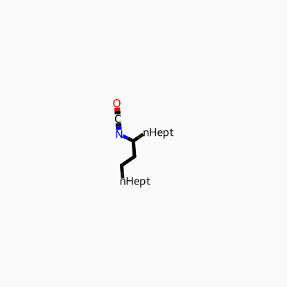 CCCCCCCCCC(CCCCCCC)N=C=O